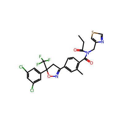 CCC(=O)N(Cc1cscn1)C(=O)c1ccc(C2=NOC(c3cc(Cl)cc(Cl)c3)(C(F)(F)F)C2)cc1C